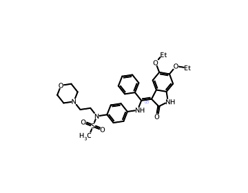 CCOc1cc2c(cc1OCC)/C(=C(/Nc1ccc(N(CCN3CCOCC3)S(C)(=O)=O)cc1)c1ccccc1)C(=O)N2